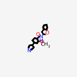 COc1cc(-c2ccncc2)ccc1C(=O)NC1COc2ccccc2C1